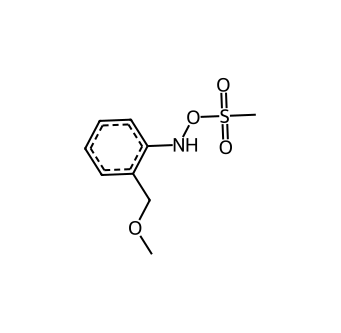 COCc1ccccc1NOS(C)(=O)=O